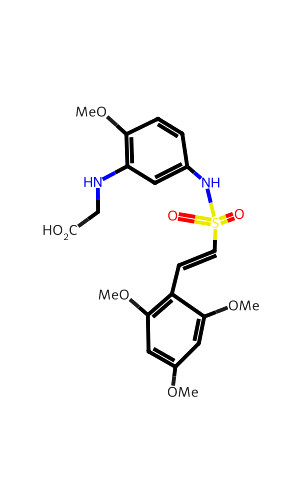 COc1cc(OC)c(/C=C/S(=O)(=O)Nc2ccc(OC)c(NCC(=O)O)c2)c(OC)c1